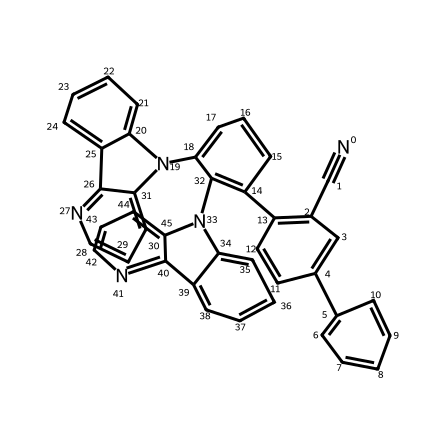 N#Cc1cc(-c2ccccc2)ccc1-c1cccc(-n2c3ccccc3c3ncccc32)c1-n1c2ccccc2c2ncccc21